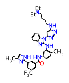 CCN(CC)CCCCNc1cc(-n2c(Nc3cc(NC(=O)c4cc(-c5nc(C)c[nH]5)cc(C(F)(F)F)c4)ccc3C)nc3ccccc32)ncn1